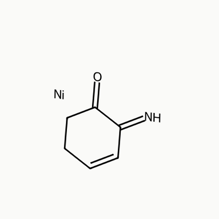 N=C1C=CCCC1=O.[Ni]